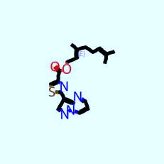 CC(C)=CCC/C(C)=C/COC(=O)c1csc(-c2cnn3cccnc23)n1